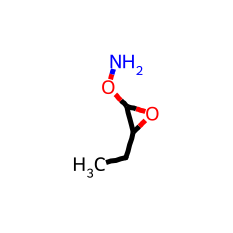 CCC1OC1ON